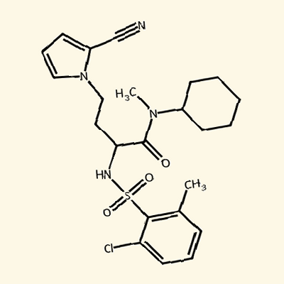 Cc1cccc(Cl)c1S(=O)(=O)NC(CCn1cccc1C#N)C(=O)N(C)C1CCCCC1